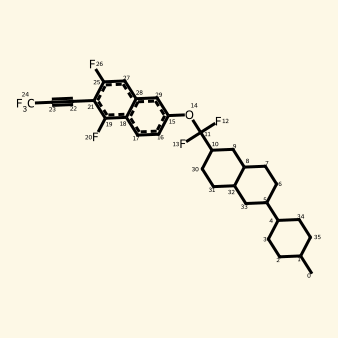 CC1CCC(C2CCC3CC(C(F)(F)Oc4ccc5c(F)c(C#CC(F)(F)F)c(F)cc5c4)CCC3C2)CC1